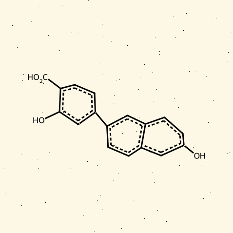 O=C(O)c1ccc(-c2ccc3cc(O)ccc3c2)cc1O